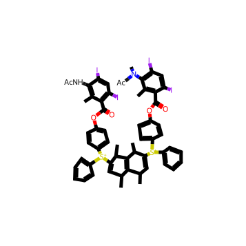 CC(=O)Nc1c(I)cc(I)c(C(=O)Oc2ccc([S+](C3=CC(C)C4=C(C3C)C(C)C([S+](c3ccccc3)c3ccc(OC(=O)c5c(I)cc(I)c(N(C)C(C)=O)c5C)cc3)=CC4C)c3ccccc3)cc2)c1C